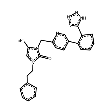 CCCc1cn(CCc2ccccc2)c(=O)n1Cc1ccc(-c2ccccc2-c2nnn[nH]2)cn1